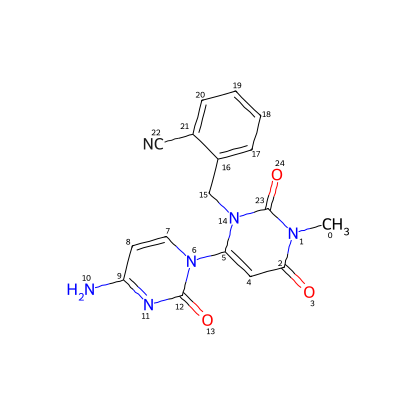 Cn1c(=O)cc(-n2ccc(N)nc2=O)n(Cc2ccccc2C#N)c1=O